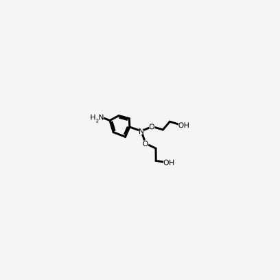 Nc1ccc(N(OCCO)OCCO)cc1